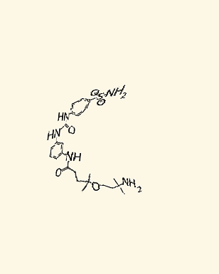 CC(C)(N)CCOC(C)(C)CCC(=O)Nc1cccc(NC(=O)Nc2ccc(S(N)(=O)=O)cc2)c1